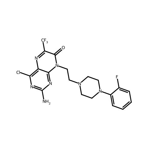 Nc1nc(Cl)c2nc(C(F)(F)F)c(=O)n(CCN3CCN(c4ccccc4F)CC3)c2n1